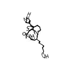 O=C1NCCC(CCCCCO)CN2CCCc3c(-c4cn[nH]c4)sc1c32